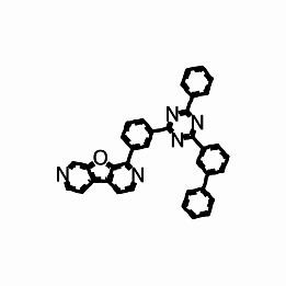 c1ccc(-c2cccc(-c3nc(-c4ccccc4)nc(-c4cccc(-c5nccc6c5oc5cnccc56)c4)n3)c2)cc1